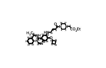 CCOC(=O)CN1CCN(C(=O)C=CCNc2cc3c(N[C@H](C)c4ccccc4)ncnc3cc2OC2CCC2)CC1